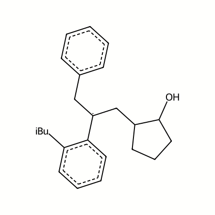 CCC(C)c1ccccc1[C](Cc1ccccc1)CC1CCCC1O